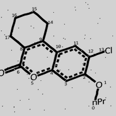 CCCOc1cc2oc(=O)c3c(c2cc1Cl)CCCC3